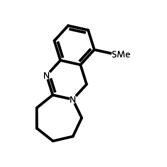 CSc1cccc2c1CN1CCCCCC1=N2